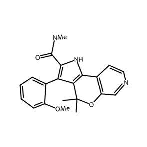 CNC(=O)c1[nH]c2c(c1-c1ccccc1OC)C(C)(C)Oc1cnccc1-2